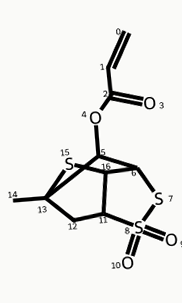 C=CC(=O)OC1C2SS(=O)(=O)C3CC1(C)SC23